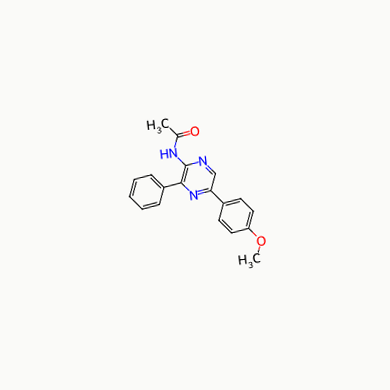 COc1ccc(-c2cnc(NC(C)=O)c(-c3ccccc3)n2)cc1